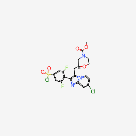 COC(=O)N1CCO[C@@H](Cc2c(-c3c(F)cc(S(=O)(=O)Cl)cc3F)nc3cc(Cl)ccn23)C1